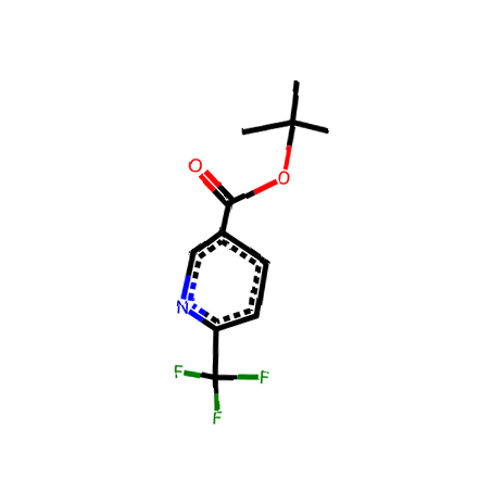 CC(C)(C)OC(=O)c1ccc(C(F)(F)F)nc1